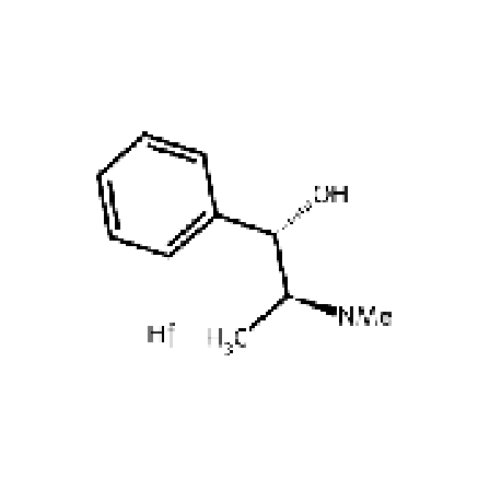 CN[C@@H](C)[C@@H](O)c1ccccc1.[Hf]